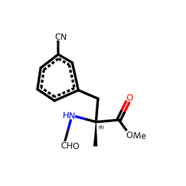 COC(=O)[C@@](C)(Cc1cccc(C#N)c1)NC=O